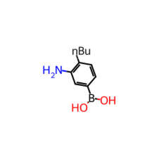 CCCCc1ccc(B(O)O)cc1N